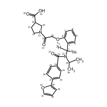 [2H]C([2H])(c1ccccc1OCC(=O)N1CCC(C(=O)O)C1)N(C(=O)c1ccc(-c2ccco2)cc1)C(C)C